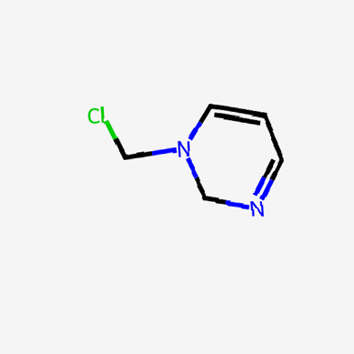 ClCN1C=CC=NC1